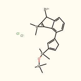 C[Si](C)(C)O[Si](C)(C)C1=CCC(c2cccc3c2C2=C([CH]3[Zr+2])[Si]2(C)C)=C1.[Cl-].[Cl-]